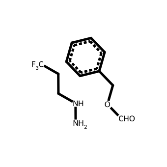 NNCCC(F)(F)F.O=COCc1ccccc1